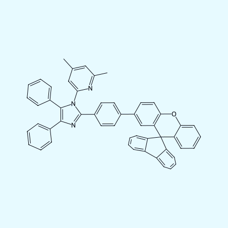 Cc1cc(C)nc(-n2c(-c3ccc(-c4ccc5c(c4)C4(c6ccccc6O5)c5ccccc5-c5ccccc54)cc3)nc(-c3ccccc3)c2-c2ccccc2)c1